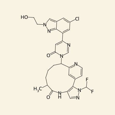 CC1CCCC(n2cnc(-c3cc(Cl)cc4cn(CCO)nc34)cc2=O)c2cc(ccn2)-c2c(cnn2C(F)F)NC1=O